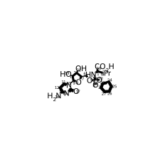 CC(C)C(NP(=O)(OC[C@H]1O[C@@H](n2ccc(N)nc2=O)[C@H](O)[C@@H]1O)Oc1ccccc1)C(=O)O